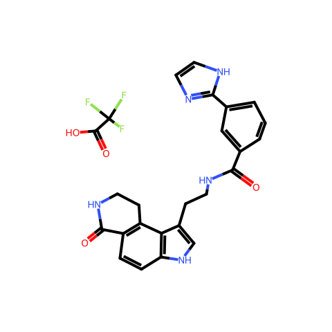 O=C(NCCc1c[nH]c2ccc3c(c12)CCNC3=O)c1cccc(-c2ncc[nH]2)c1.O=C(O)C(F)(F)F